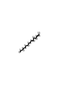 CCCCCC[C]CCCCCCCCC